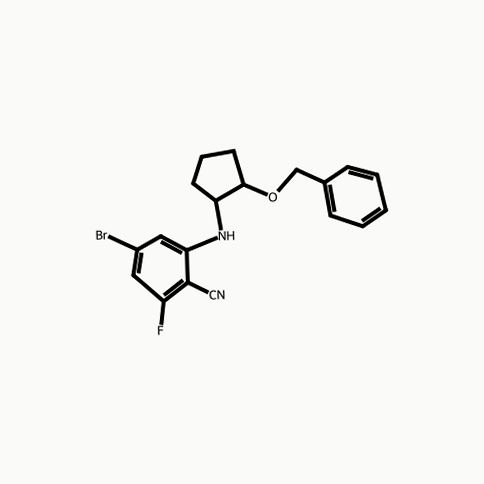 N#Cc1c(F)cc(Br)cc1NC1CCCC1OCc1ccccc1